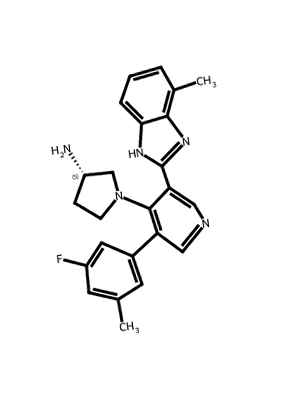 Cc1cc(F)cc(-c2cncc(-c3nc4c(C)cccc4[nH]3)c2N2CC[C@H](N)C2)c1